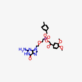 COc1ccc(C(=O)COP(=O)(CCOCCn2cnc3c(=O)[nH]c(N)nc32)OCc2ccc(C)cc2)cc1OC